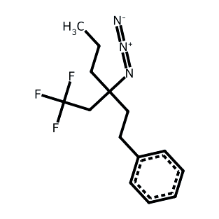 CCCC(CCc1ccccc1)(CC(F)(F)F)N=[N+]=[N-]